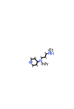 CCCN(CCCNCC)C1CC[N]CC1